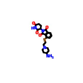 NC1CCN(CCSc2cccc3c2C(=O)N(C2CCC(=O)NC2=O)C3=O)CC1